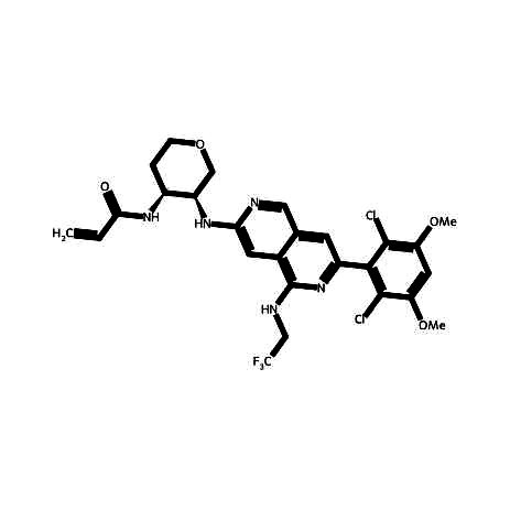 C=CC(=O)N[C@H]1CCOC[C@H]1Nc1cc2c(NCC(F)(F)F)nc(-c3c(Cl)c(OC)cc(OC)c3Cl)cc2cn1